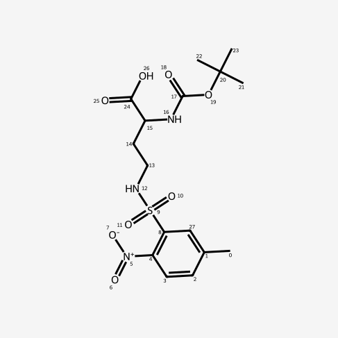 Cc1ccc([N+](=O)[O-])c(S(=O)(=O)NCCC(NC(=O)OC(C)(C)C)C(=O)O)c1